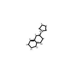 C1=C2CC(N3CCCC3)CCC2CCC1